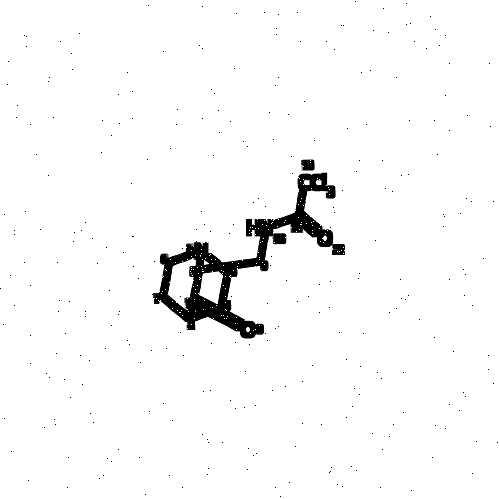 O=C1C2CCN(CC2)C1CNC(=O)C(Cl)(Cl)Cl